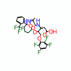 C[C@H](NC1(c2ccccc2C(F)(F)F)CCCCO1)C(=O)N[C@@H](CC(=O)O)C(=O)COc1c(F)c(F)cc(F)c1F